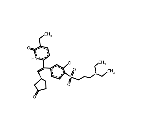 CCc1ccc(/C(=C/[C@H]2CCC(=O)C2)c2ccc(S(=O)(=O)CCCN(CC)CC)c(Cl)c2)[nH]c1=O